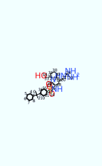 CC(C)(c1ccccc1)c1ccc(S(=O)(=O)NC(CCCNC(=N)N)C(=O)N2CCCC[C@H]2CO)cc1